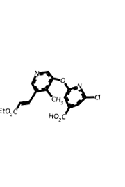 CCOC(=O)C=Cc1cncc(Oc2cc(C(=O)O)cc(Cl)n2)c1C